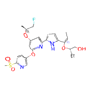 C/C=C(/OC(CC)CO)c1ccc(-c2cc(O[C@@H](C)CF)cc(Oc3ccc(S(C)(=O)=O)nc3)n2)[nH]1